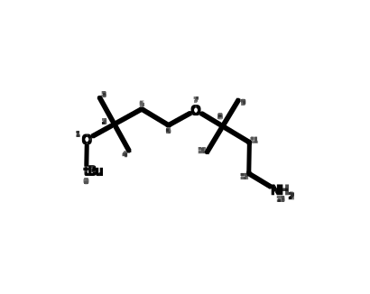 CC(C)(C)OC(C)(C)CCOC(C)(C)CCN